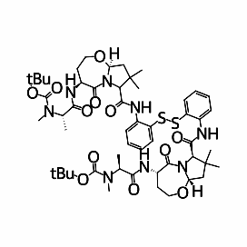 C[C@@H](C(=O)N[C@H]1CCO[C@H]2CC(C)(C)C(C(=O)Nc3ccccc3SSc3ccccc3NC(=O)[C@@H]3N4C(=O)[C@@H](NC(=O)[C@H](C)N(C)C(=O)OC(C)(C)C)CCO[C@H]4CC3(C)C)N2C1=O)N(C)C(=O)OC(C)(C)C